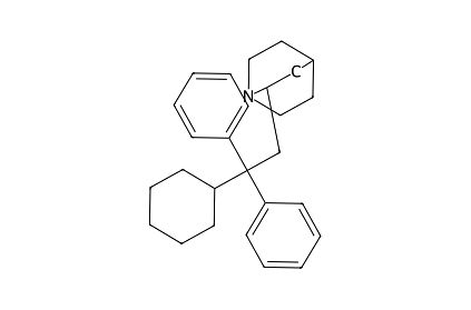 c1ccc(C(CC2CC3CCN2CC3)(c2ccccc2)C2CCCCC2)cc1